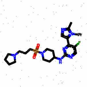 Cc1ncc(-c2nc(NC3CCN(S(=O)(=O)CCCN4CCCC4)CC3)ncc2F)n1C(C)C